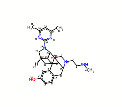 CNCCN1CCC23c4cc(O)ccc4CC1C21CCC2C3[C@@H](CN2c2nc(C)cc(C)n2)C1